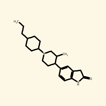 CCCC1CCC(N2CCC(c3ccc4c(c3)CC(=O)N4)C(C)C2)CC1